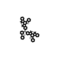 CC1(C)c2cc(N(c3ccc4c(c3)C(C)(C)c3c5c(c6c(oc7ccccc76)c3-4)-c3ccccc3C5(C)C)c3cccc4c3oc3ccccc34)ccc2-c2c1c1c(c3c2oc2ccccc23)-c2ccccc2C1(C)C